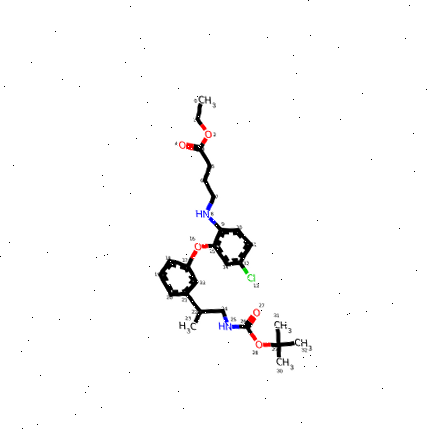 CCOC(=O)CCCNc1ccc(Cl)cc1Oc1cccc(C(C)CNC(=O)OC(C)(C)C)c1